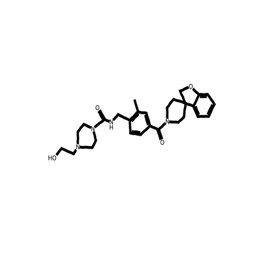 Cc1cc(C(=O)N2CCC3(CC2)COc2ccccc23)ccc1CNC(=O)N1CCN(CCO)CC1